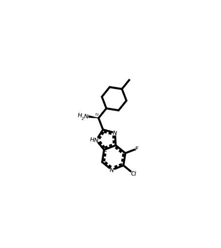 CC1CCC([C@H](N)c2nc3c(F)c(Cl)ncc3[nH]2)CC1